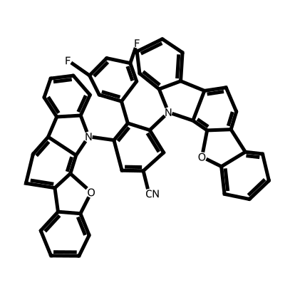 N#Cc1cc(-n2c3ccccc3c3ccc4c5ccccc5oc4c32)c(-c2cc(F)cc(F)c2)c(-n2c3ccccc3c3ccc4c5ccccc5oc4c32)c1